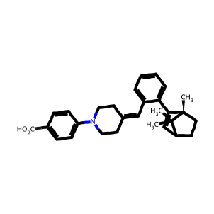 CC1(C)C2C=C(c3ccccc3C=C3CCN(c4ccc(C(=O)O)cc4)CC3)[C@]1(C)CC2